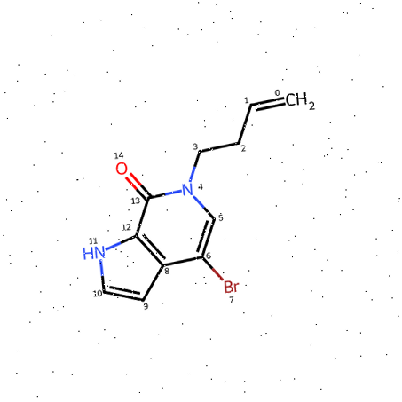 C=CCCn1cc(Br)c2cc[nH]c2c1=O